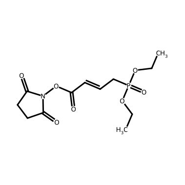 CCOP(=O)(C/C=C/C(=O)ON1C(=O)CCC1=O)OCC